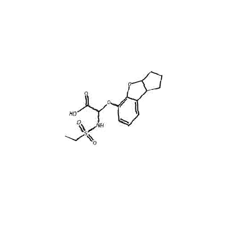 CCS(=O)(=O)NC(Oc1cccc2c1OC1CCCC21)C(=O)O